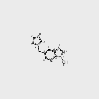 On1nnc2cc(Cn3ccnc3)ccc21